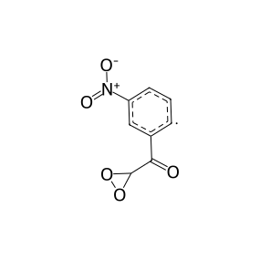 O=C(c1[c]ccc([N+](=O)[O-])c1)C1OO1